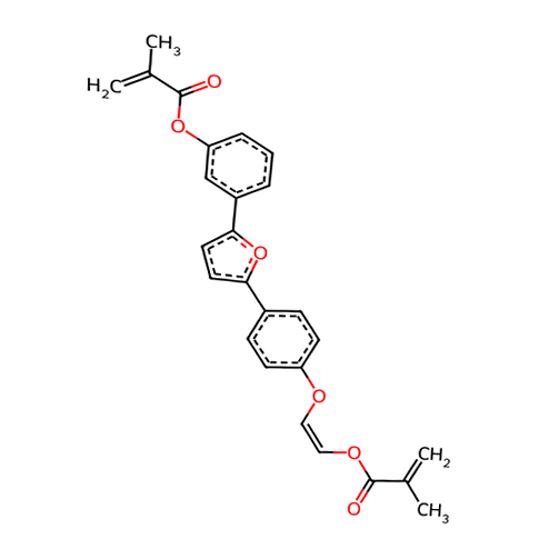 C=C(C)C(=O)O/C=C\Oc1ccc(-c2ccc(-c3cccc(OC(=O)C(=C)C)c3)o2)cc1